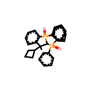 CC(C)(C1CCC1)C(P(=O)(c1ccccc1)c1ccccc1)P(=O)(c1ccccc1)c1ccccc1